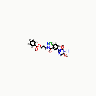 O=C(OCCCNC(=O)c1cc(-n2ncc(=O)[nH]c2=O)ccc1Cl)c1ccccc1